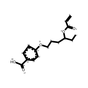 C=CC(=O)OC(CC)CCCOc1ccc(C(=O)O)cc1